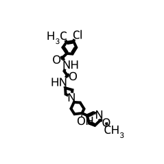 COc1ccc([C@]2(O)CC[C@H](N3CC(NC(=O)CNC(=O)c4ccc(Cl)c(C)c4)C3)CC2)cn1